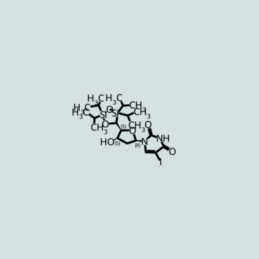 CC(C)[Si]1(C(C)C)OC([C@H]2O[C@@H](n3cc(I)c(=O)[nH]c3=O)C[C@@H]2O)[Si](C(C)C)(C(C)C)O1